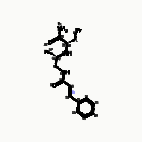 CC(C)C[C@H](N[C@H](CNC(=O)/C=C/c1ccccc1)C(C)C)C(N)=O